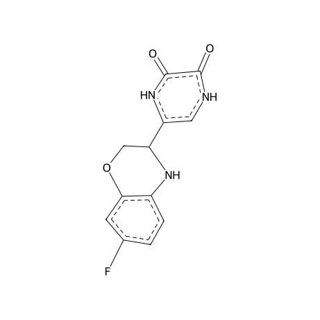 O=c1[nH]cc(C2COc3cc(F)ccc3N2)[nH]c1=O